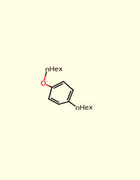 [CH2]CCCCCc1ccc(OCCCCCC)cc1